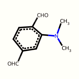 CN(C)c1cc(C=O)ccc1C=O